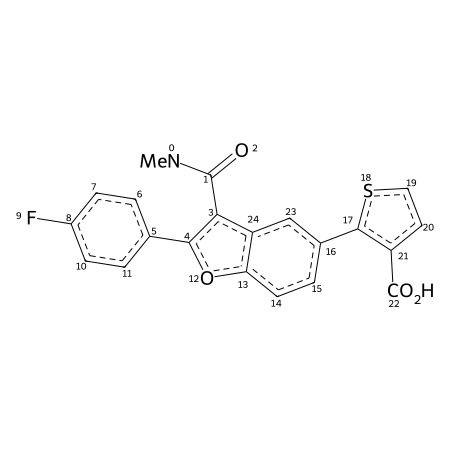 CNC(=O)c1c(-c2ccc(F)cc2)oc2ccc(-c3sccc3C(=O)O)cc12